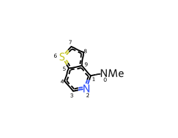 CNc1nccc2sccc12